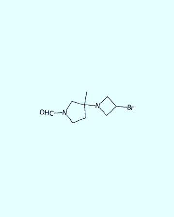 CC1(N2CC(Br)C2)CCN(C=O)C1